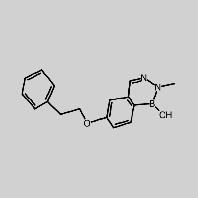 CN1N=Cc2cc(OCCc3ccccc3)ccc2B1O